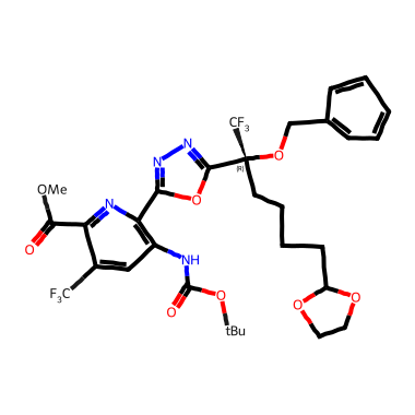 COC(=O)c1nc(-c2nnc([C@@](CCCCC3OCCO3)(OCc3ccccc3)C(F)(F)F)o2)c(NC(=O)OC(C)(C)C)cc1C(F)(F)F